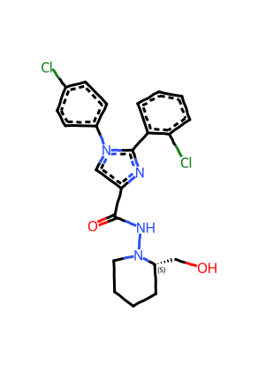 O=C(NN1CCCC[C@H]1CO)c1cn(-c2ccc(Cl)cc2)c(-c2ccccc2Cl)n1